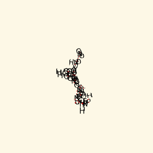 Cc1c(-c2ccc(N3CCc4cccc(C(=O)Nc5nc6ccccc6s5)c4C3)nc2C(=O)O)cnn1CC12CC3(C)CC(C)(C1)CC(OCCN(C)C(=O)OCc1ccc(OCCOCCNC(=O)CCCCCN4C(=O)C=CC4=O)cc1O[C@@H]1O[C@H](C(=O)O)[C@H](O)[C@H](O)[C@@H]1O)(C3)C2